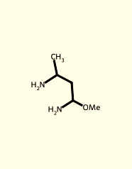 COC(N)CC(C)N